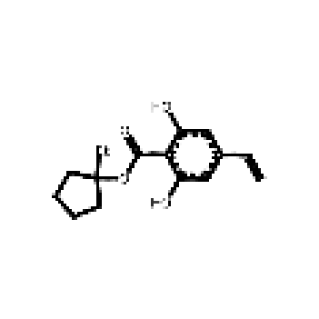 C=Cc1cc(O)c(C(=O)OC2(CC)CCCC2)c(O)c1